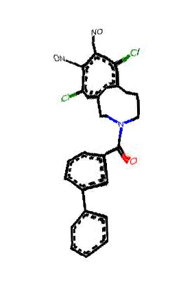 O=Nc1c(Cl)c2c(c(Cl)c1N=O)CN(C(=O)c1cccc(-c3ccccc3)c1)CC2